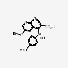 CCOC(=O)c1cnc2ncc(OCC)cc2c1Nc1ccc(OC)cc1.Cl